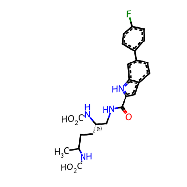 CC(CC[C@@H](CNC(=O)c1cc2ccc(-c3ccc(F)cc3)cc2[nH]1)NC(=O)O)NC(=O)O